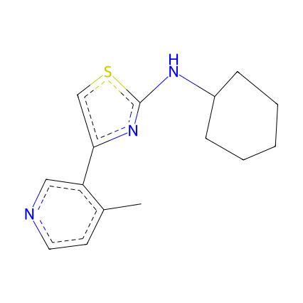 Cc1ccncc1-c1csc(NC2CCCCC2)n1